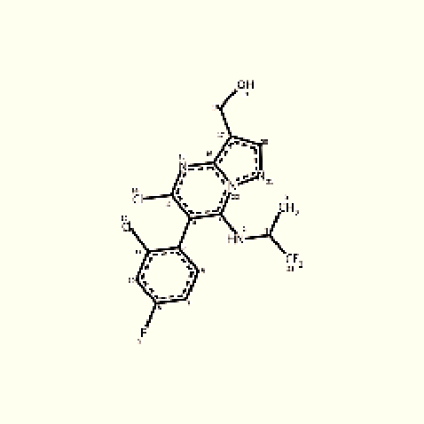 CC(Nc1c(-c2ccc(F)cc2Cl)c(Cl)nc2c(CO)cnn12)C(F)(F)F